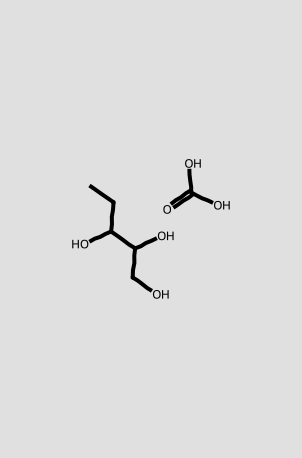 CCC(O)C(O)CO.O=C(O)O